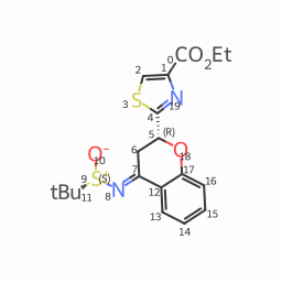 CCOC(=O)c1csc([C@H]2CC(=N[S@+]([O-])C(C)(C)C)c3ccccc3O2)n1